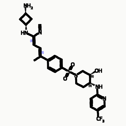 C=N/C(=C\C=C(/C)c1ccc(S(=O)(=O)N2CC[C@@H](Nc3ccc(C(F)(F)F)cn3)[C@@H](O)C2)cc1)N[C@H]1C[C@@H](N)C1